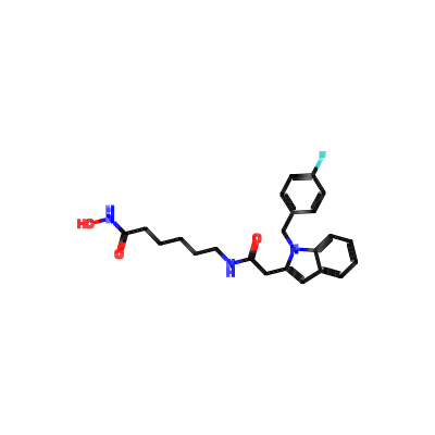 O=C(CCCCCNC(=O)Cc1cc2ccccc2n1Cc1ccc(F)cc1)NO